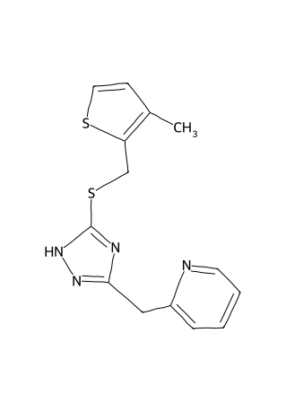 Cc1ccsc1CSc1nc(Cc2ccccn2)n[nH]1